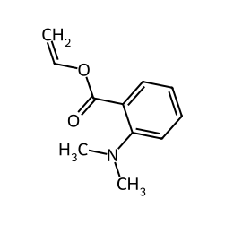 C=COC(=O)c1ccccc1N(C)C